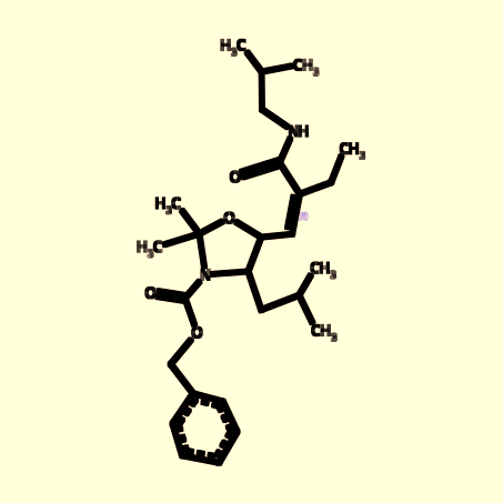 CC/C(=C/C1OC(C)(C)N(C(=O)OCc2ccccc2)C1CC(C)C)C(=O)NCC(C)C